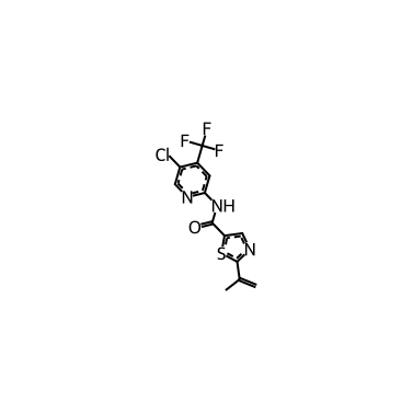 C=C(C)c1ncc(C(=O)Nc2cc(C(F)(F)F)c(Cl)cn2)s1